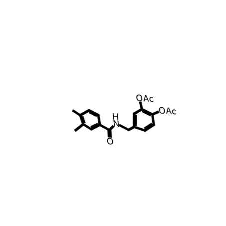 CC(=O)Oc1ccc(CNC(=O)c2ccc(C)c(C)c2)cc1OC(C)=O